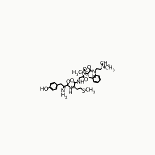 CSCC[C@@H](NC(=O)[C@@H](N)Cc1ccc(O)cc1)C(=O)NCC(=O)[N+](C)([O-])[C@@H](Cc1ccccc1)C(=O)NCCN(C)C